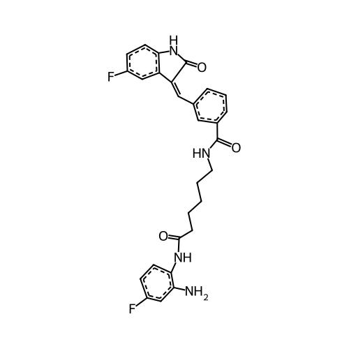 Nc1cc(F)ccc1NC(=O)CCCCCNC(=O)c1cccc(C=C2C(=O)Nc3ccc(F)cc32)c1